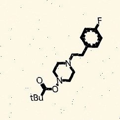 CC(C)(C)C(=O)ON1CCN(CCc2ccc(F)cc2)CC1